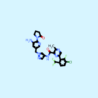 Cc1ncc(-c2c(C(F)F)ccc(Cl)c2F)nc1C(=O)Nc1cnn(Cc2cnc(N3CCCC3=O)c(N)c2)c1